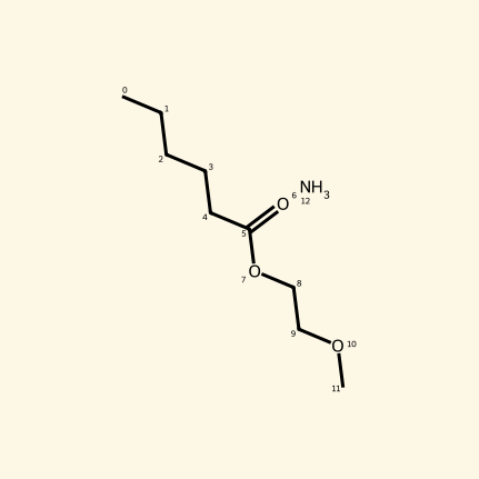 CCCCCC(=O)OCCOC.N